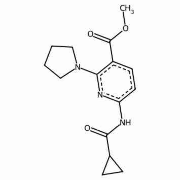 COC(=O)c1ccc(NC(=O)C2CC2)nc1N1CCCC1